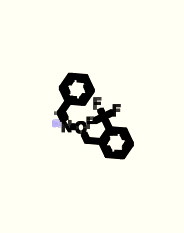 FC(F)(F)c1ccccc1CO/N=[C]\c1ccccc1